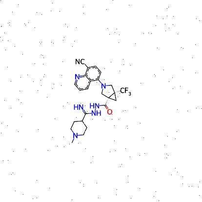 CN1CCC(C(=N)NNC(=O)[C@]23CN(c4ccc(C#N)c5ncccc45)C[C@@]2(C(F)(F)F)C3)CC1